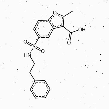 Cc1oc2ccc(S(=O)(=O)NCCc3ccccc3)cc2c1C(=O)O